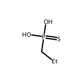 CCCP(O)(O)=S